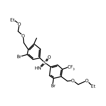 CCOCOCc1c(C)cc(S(=N)(=O)c2cc(Br)c(COCOCC)c(C(F)(F)F)c2)cc1Br